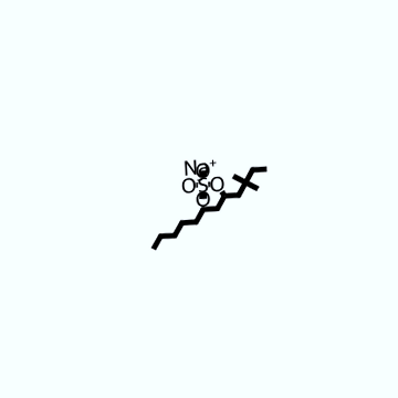 CCCCCCCC(CC(C)(C)CC)OS(=O)(=O)[O-].[Na+]